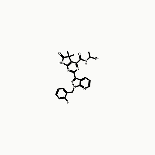 CC(C)C(C)NC(=O)c1nc(-c2nn(Cc3ccccc3F)c3ncccc23)nc2c1C(C)(C)C(=O)N2